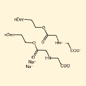 CCCCCCCCCCCCOC(=O)CNCC(=O)[O-].CCCCCCCCCCCCOC(=O)CNCC(=O)[O-].[Na+].[Na+]